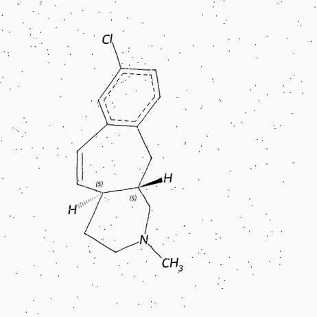 CN1CC[C@H]2C=Cc3cc(Cl)ccc3C[C@@H]2C1